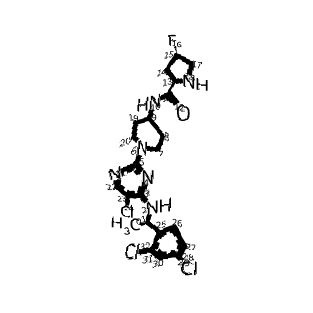 C[C@@H](Nc1nc(N2CCC(NC(=O)[C@H]3C[C@H](F)CN3)CC2)ncc1Cl)c1ccc(Cl)cc1Cl